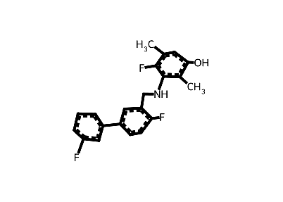 Cc1cc(O)c(C)c(NCc2cc(-c3cccc(F)c3)ccc2F)c1F